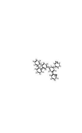 C1=NCCC=C1c1cc(-c2ccc3c4ccccc4c4ccccc4c3c2)cc(-c2ccccn2)c1